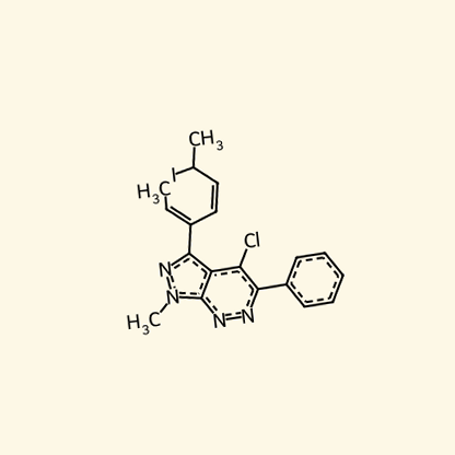 C/C=C(\C=C/C(C)I)c1nn(C)c2nnc(-c3ccccc3)c(Cl)c12